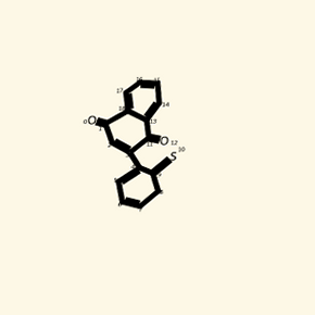 O=C1C=C(C2=CC=CCC2=S)C(=O)c2ccccc21